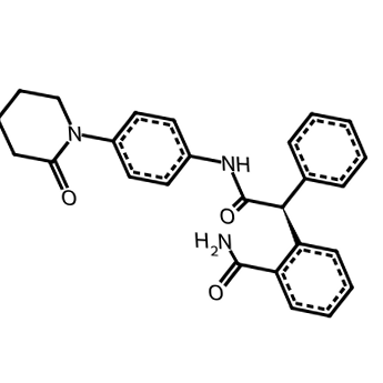 NC(=O)c1ccccc1[C@@H](C(=O)Nc1ccc(N2CCCCC2=O)cc1)c1ccccc1